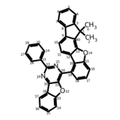 CC1(C)c2ccccc2-c2ccc3c(oc4cccc(-c5nc(-c6ccccc6)nc6c5oc5ccccc56)c43)c21